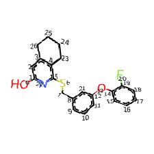 Oc1cc2c(c(SCc3cccc(Oc4ccccc4F)c3)n1)CCCC2